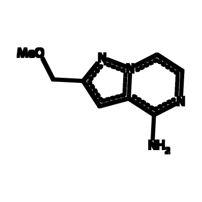 COCc1cc2c(N)nccn2n1